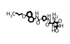 CCCCOc1cccc2c1CCC[C@H]2NC(=O)[C@@H]1CC[C@H](NC(=O)c2[nH]c(=O)[nH]c(=O)c2N)C1